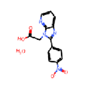 O.O=C(O)Cn1c(-c2ccc([N+](=O)[O-])cc2)nc2cccnc21